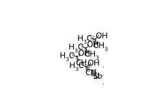 CC(C)O.CC(C)O.CC(C)O.CC(C)O.[Sb].[Ti]